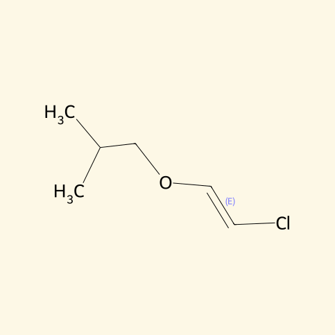 CC(C)CO/C=C/Cl